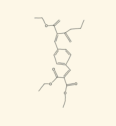 C=C(CCC)/C(=C\c1ccc(C=C(C(=O)OCC)C(=O)OCC)cc1)C(=C)OCC